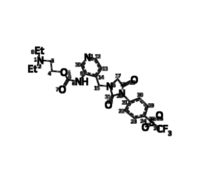 CCN(CC)CCOC(=O)Nc1cnccc1CN1CC(=O)N(c2ccc(S(=O)(=O)C(F)(F)F)cc2)C1=O